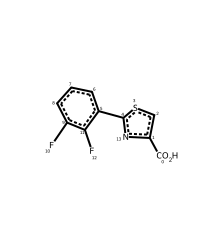 O=C(O)c1csc(-c2cccc(F)c2F)n1